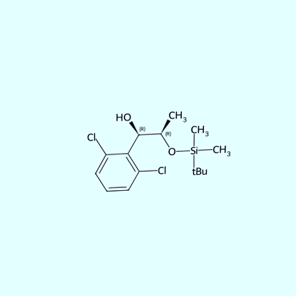 C[C@@H](O[Si](C)(C)C(C)(C)C)[C@H](O)c1c(Cl)cccc1Cl